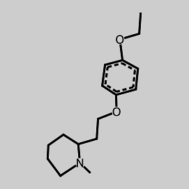 CCOc1ccc(OCCC2CCCCN2C)cc1